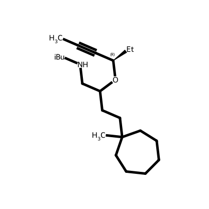 CC#C[C@@H](CC)OC(CCC1(C)CCCCCC1)CNC(C)CC